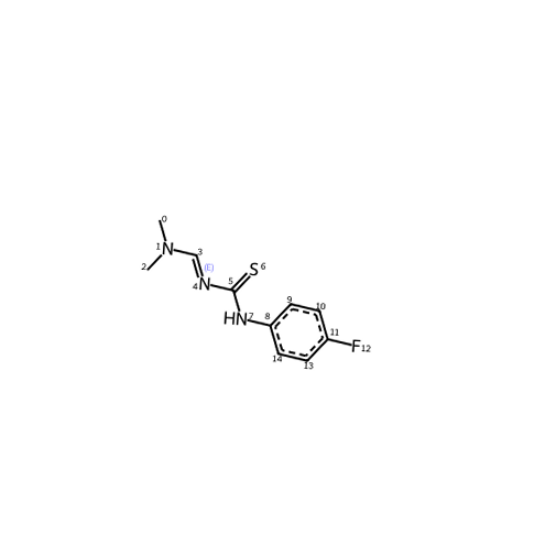 CN(C)/C=N/C(=S)Nc1ccc(F)cc1